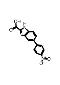 O=C(O)c1nc2cc(-c3ccc([N+](=O)[O-])cc3)ccc2[nH]1